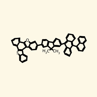 CC1(C)c2cc(-c3ccc4c(c3)oc3c5ccccc5c5sc6ccccc6c5c43)ccc2-c2ccc(-c3c4ccccc4c(-c4cccc5ccccc45)c4ccccc34)cc21